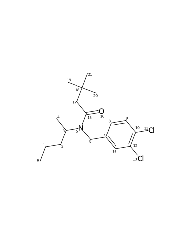 CCCC(C)N(Cc1ccc(Cl)c(Cl)c1)C(=O)CC(C)(C)C